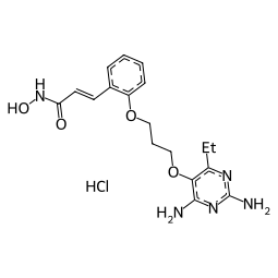 CCc1nc(N)nc(N)c1OCCCOc1ccccc1/C=C/C(=O)NO.Cl